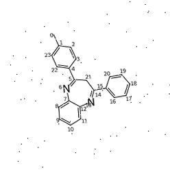 Cc1ccc(C2=Nc3ccccc3N=C(c3ccccc3)C2)cc1